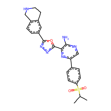 CC(C)S(=O)(=O)c1ccc(-c2cnc(N)c(-c3nnc(-c4ccc5c(c4)CCNC5)o3)n2)cc1